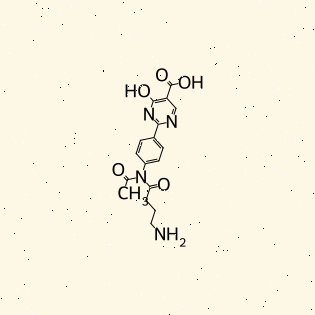 CC(=O)N(C(=O)CCCN)c1ccc(-c2ncc(C(=O)O)c(O)n2)cc1